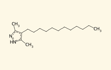 CCCCCCCCCCCCc1c(C)n[nH]c1C